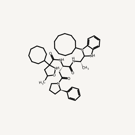 CC1CC(C(=O)N[C@@H](CC(=O)N2CCC[C@@H]2c2ccccc2)C(=O)N[C@@H](C)C2Nc3ccccc3N2C2CCCCCCCCC2)(C2CCCCCCC2)NO1